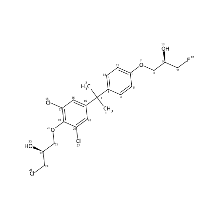 CC(C)(c1ccc(OC[C@@H](O)CF)cc1)c1cc(Cl)c(OC[C@H](O)CCl)c(Cl)c1